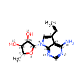 C=Cc1cn([C@@H]2O[C@H](C)[C@@H](O)[C@H]2O)c2ncnc(N)c12